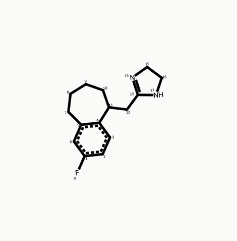 Fc1ccc2c(c1)CCCCC2CC1=NCCN1